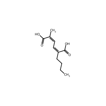 CCCCC(=CC=C(C)C(=O)O)C(=O)O